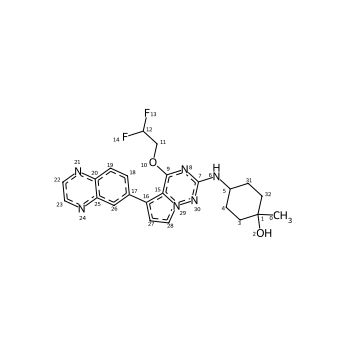 CC1(O)CCC(Nc2nc(OCC(F)F)c3c(-c4ccc5nccnc5c4)ccn3n2)CC1